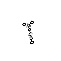 c1ccc(-c2cnc(-c3ncc(-c4ccc(-c5nc(-c6ccccc6)nc(-c6ccccc6)n5)cc4)cn3)nc2)cc1